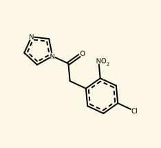 O=C(Cc1ccc(Cl)cc1[N+](=O)[O-])n1ccnc1